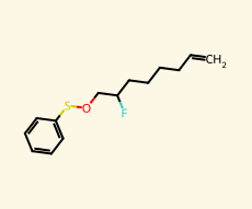 C=CCCCCC(F)COSc1ccccc1